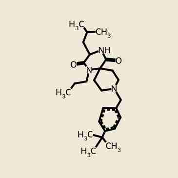 CCCN1C(=O)C(CC(C)C)NC(=O)C12CCN(Cc1ccc(C(C)(C)C)cc1)CC2